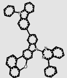 c1ccc(-c2nc(-n3c4ccc(-c5ccc6c(c5)c5ccccc5n6-c5ccccc5)cc4c4cc5c(cc43)Oc3cccc4cccc-5c34)nc3ccccc23)cc1